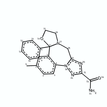 Cc1ccc2c(c1)C1(c3ccccc3)OCCN1Cc1nc(C(N)=O)nn1-2